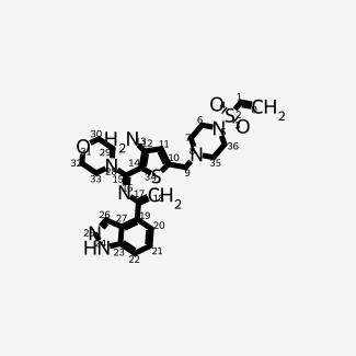 C=CS(=O)(=O)N1CCN(Cc2cc(N)c(/C(=N\C(=C)c3cccc4[nH]ncc34)N3CCOCC3)s2)CC1